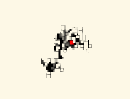 CC(C)(C)OC(=O)NC(CO)C(=O)N1CC(Oc2ccc(C3CC3B3OC4C[C@@H]5C[C@@H](C5(C)C)[C@]4(C)O3)c(OC(=O)OC(C)(C)C)c2C(=O)OC(C)(C)C)C1